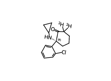 [2H]C1([2H])CCC[C@@](NC2CC2)(c2ccccc2Cl)C1=O